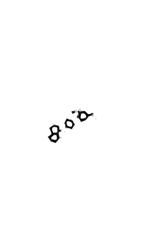 NC(=O)c1ccc2c(c1)[nH]c(=O)n2C1CCC(NC2CCCc3ccccc32)CC1